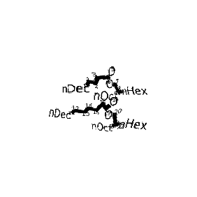 CCCCCCCCCCCCCC(=O)OCC(CCCCCC)CCCCCCCC.CCCCCCCCCCCCCCCC(=O)OCC(CCCCCC)CCCCCCCC